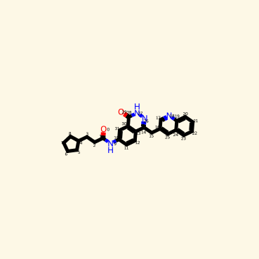 O=C(CCC1CCCC1)Nc1ccc2c(Cc3cnc4ccccc4c3)n[nH]c(=O)c2c1